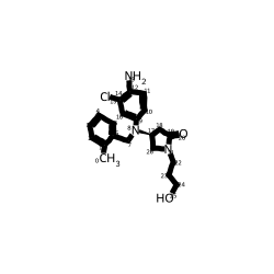 Cc1ccccc1CN(c1ccc(N)c(Cl)c1)[C@H]1CC(=O)N(CCCO)C1